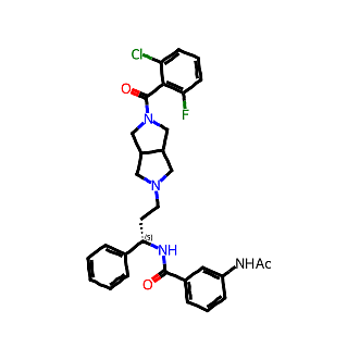 CC(=O)Nc1cccc(C(=O)N[C@@H](CCN2CC3CN(C(=O)c4c(F)cccc4Cl)CC3C2)c2ccccc2)c1